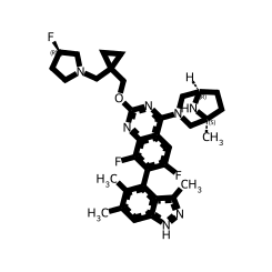 Cc1cc2[nH]nc(C)c2c(-c2c(F)cc3c(N4C[C@H]5CC[C@@](C)(C4)N5)nc(OCC4(CN5CC[C@@H](F)C5)CC4)nc3c2F)c1C